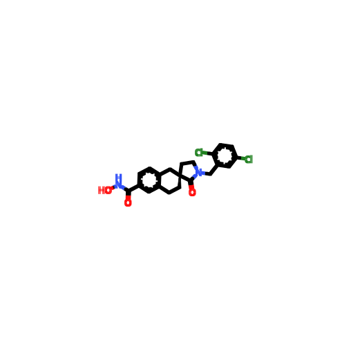 O=C(NO)c1ccc2c(c1)CC[C@]1(CCN(Cc3cc(Cl)ccc3Cl)C1=O)C2